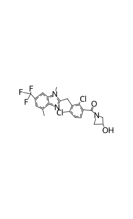 Cc1cc(C(F)(F)F)cc2c1nc(Cc1c(Cl)ccc(C(=O)N3CC(O)C3)c1Cl)n2C